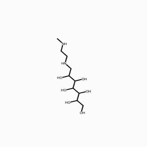 CNCCNCC(O)C(O)C(O)C(O)C(O)CO